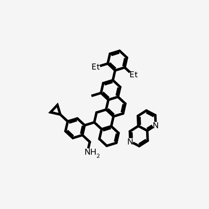 CCc1cccc(CC)c1-c1cc(C)c2c3c(ccc2c1)C1=C(CCC=C1)C(c1cc(C2CC2)ccc1CN)C3.c1cnc2ccncc2c1